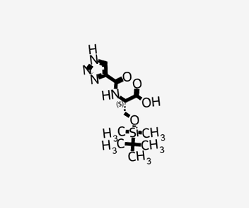 CC(C)(C)[Si](C)(C)OC[C@H](NC(=O)c1c[nH]nn1)C(=O)O